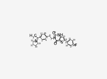 CC(c1ccc(CCn2c(=O)[nH]c3cc(-c4ccc(F)cc4)sc3c2=O)cc1)N1CCCC1